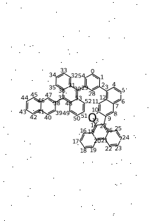 c1cc(-c2cccc3cc4c(cc23)oc2c3ccccc3c3ccccc3c42)cc(-c2c3ccccc3c(-c3ccc4ccccc4c3)c3ccccc23)c1